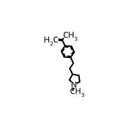 C=C(C)c1ccc(CCC2CCN(C)C2)cc1